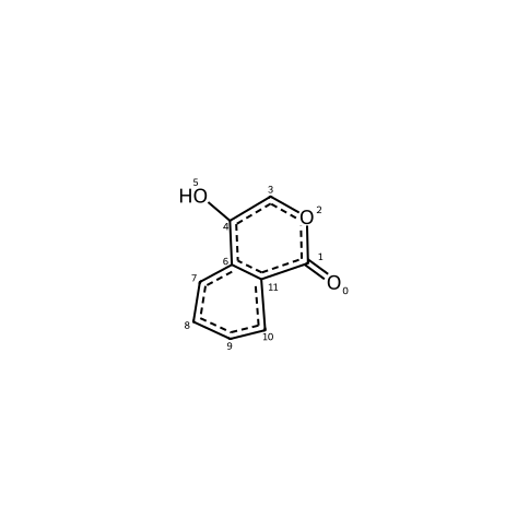 O=c1occ(O)c2ccccc12